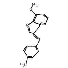 NOc1cccc2c1N=CC2=Cc1ccc(N)cc1